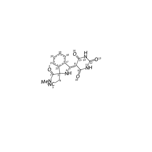 CNC(=O)C1(CC#N)NC(=C2C(=O)NC(=O)NC2=O)c2ccccc21